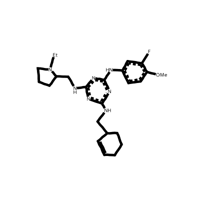 CCN1CCCC1CNc1nc(NCC2C=CCCC2)nc(Nc2ccc(OC)c(F)c2)n1